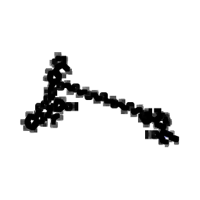 C=C/C=C(\C(O)=C/C)c1cc(-c2cnn(CCOCCOCCOCCOCCOCCOc3cc(-c4scnc4C)ccc3CNC(=O)[C@@H]3C[C@@H](O)CN3C(=O)[C@H](C(C)C)N3Cc4ccccc4C3=O)c2)c(N)nn1